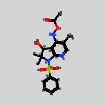 CCC(=O)ONc1c([N+](=O)[O-])cnc2c1C(O)C(C)(C)N2S(=O)(=O)c1ccccc1